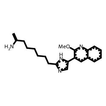 C=C(N)CCCCCCc1ncc(-c2cc3ccccc3nc2OC)[nH]1